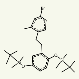 Cc1cc(Br)ccc1CCc1cc(O[Si](C)(C)C(C)(C)C)ccc1O[Si](C)(C)C(C)(C)C